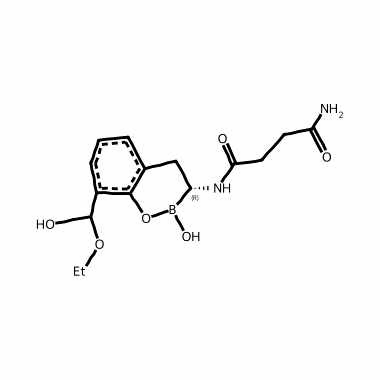 CCOC(O)c1cccc2c1OB(O)[C@@H](NC(=O)CCC(N)=O)C2